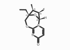 CC[C@]12COc3nc(=O)ccn3[C@H](O1)[C@H](F)[C@@H]2C